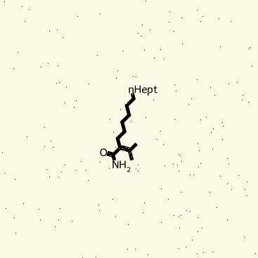 CCCCCCCCCCCCCC(C(N)=O)=C(C)C